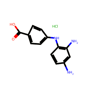 Cl.Nc1ccc(Nc2ccc(C(=O)O)cc2)c(N)c1